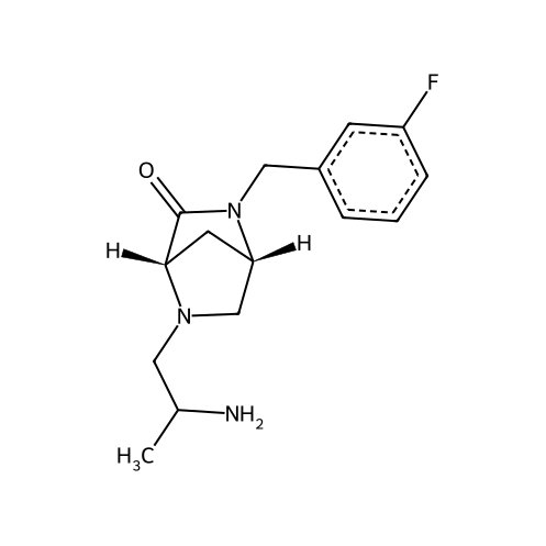 CC(N)CN1C[C@@H]2C[C@H]1C(=O)N2Cc1cccc(F)c1